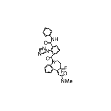 CNC(=O)C=C1c2ccccc2N(C(=O)c2cccc(C(=O)Nc3ccccc3)c2-n2cncn2)CCC1(F)F